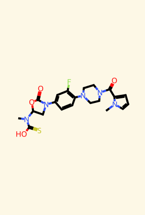 CN(C(O)=S)C1CN(c2ccc(N3CCN(C(=O)c4cccn4C)CC3)c(F)c2)C(=O)O1